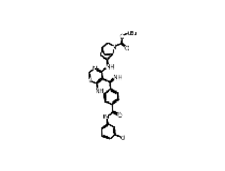 CC(C)(C)OC(=O)N1CC2CC(Nc3ncnc(N)c3C(=N)c3ccc(C(=O)Nc4cccc(Cl)c4)cc3)C1C2